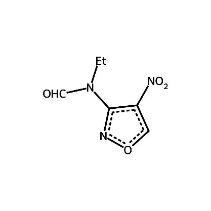 CCN(C=O)c1nocc1[N+](=O)[O-]